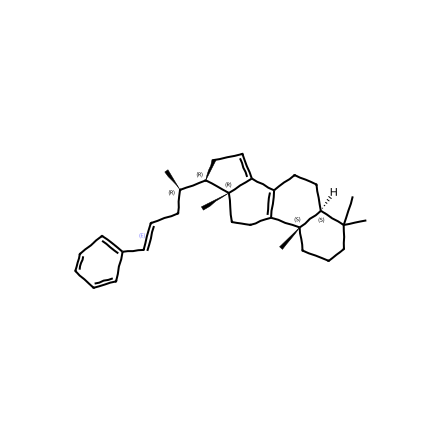 C[C@H](C/C=C/c1ccccc1)[C@H]1CC=C2C3=C(CC[C@@]21C)[C@@]1(C)CCCC(C)(C)[C@@H]1CC3